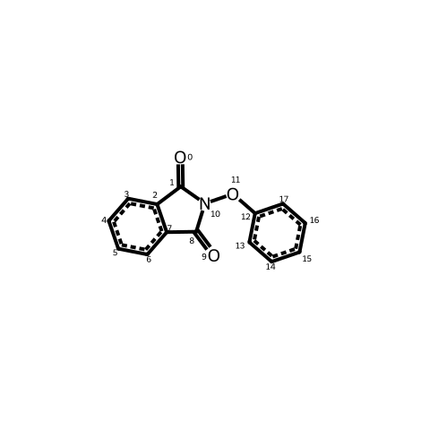 O=C1c2ccccc2C(=O)N1Oc1ccccc1